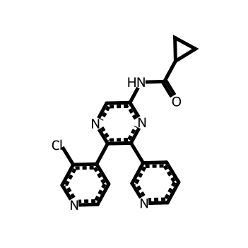 O=C(Nc1cnc(-c2ccncc2Cl)c(-c2cccnc2)n1)C1CC1